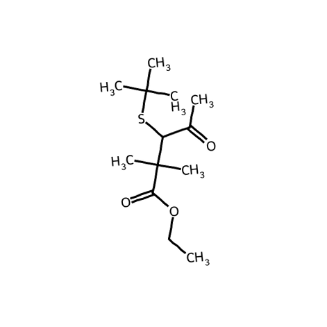 CCOC(=O)C(C)(C)C(SC(C)(C)C)C(C)=O